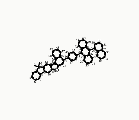 CC1(C)c2ccccc2-c2cc3oc4cc(-c5ccc(-c6c7ccccc7c(-c7cccc8ccccc78)c7ccccc67)cc5)c5ccccc5c4c3cc21